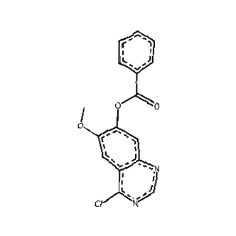 COc1cc2c(Cl)ncnc2cc1OC(=O)c1ccccc1